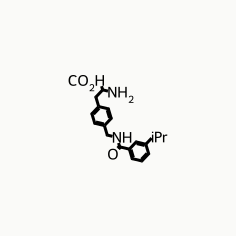 CC(C)c1cccc(C(=O)NCc2ccc(CC(N)C(=O)O)cc2)c1